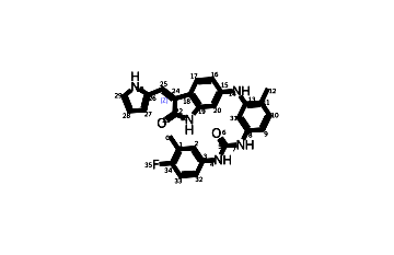 Cc1cc(NC(=O)Nc2ccc(C)c(Nc3ccc4c(c3)NC(=O)/C4=C\c3ccc[nH]3)c2)ccc1F